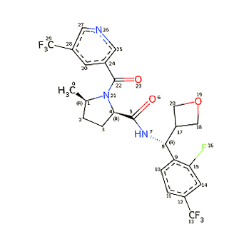 C[C@@H]1CC[C@H](C(=O)N[C@@H](c2ccc(C(F)(F)F)cc2F)C2COC2)N1C(=O)c1cncc(C(F)(F)F)c1